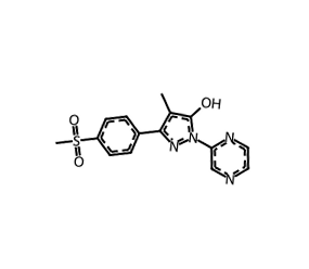 Cc1c(-c2ccc(S(C)(=O)=O)cc2)nn(-c2cnccn2)c1O